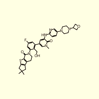 Cn1cc(-c2cc(F)cc(N3CCc4c(sc5c4CC(C)(C)C5)C3=O)c2CO)cc(Nc2ccc(N3CCN(C4COC4)CC3)cn2)c1=O